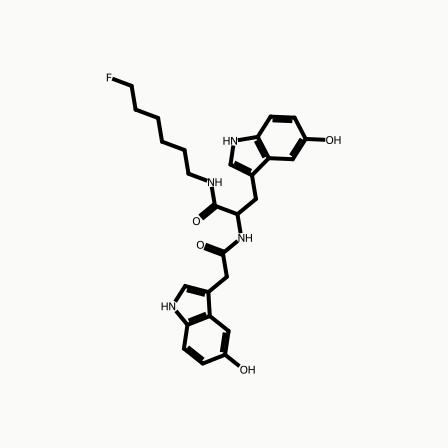 O=C(Cc1c[nH]c2ccc(O)cc12)NC(Cc1c[nH]c2ccc(O)cc12)C(=O)NCCCCCCF